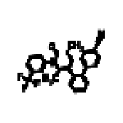 CCC/C(=C(/C)N(C=O)c1cccc(C(F)(F)F)c1)c1ccccc1-c1ccc(C#N)cc1